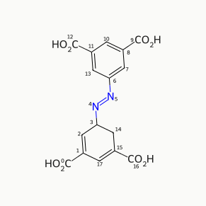 O=C(O)C1=CC(/N=N/c2cc(C(=O)O)cc(C(=O)O)c2)CC(C(=O)O)=C1